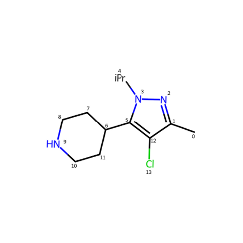 Cc1nn(C(C)C)c(C2CCNCC2)c1Cl